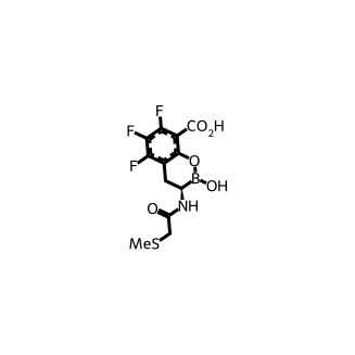 CSCC(=O)N[C@H]1Cc2c(F)c(F)c(F)c(C(=O)O)c2OB1O